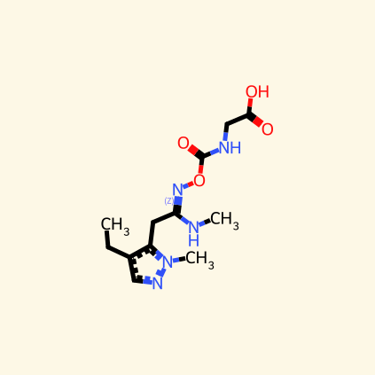 CCc1cnn(C)c1C/C(=N/OC(=O)NCC(=O)O)NC